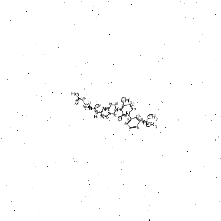 Cc1ccn(-c2cccc(N(C)C)c2)c(=O)c1N1CCc2nc(NC(=O)NCCCC(=O)O)ncc2C1